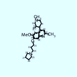 COc1cc2c(C3CCN(C)CC3F)cc(C)nc2cc1OCCCN1CCCC1